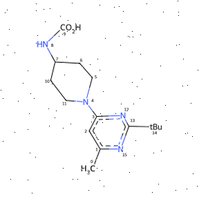 Cc1cc(N2CCC(NC(=O)O)CC2)nc(C(C)(C)C)n1